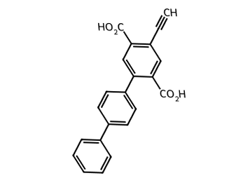 C#Cc1cc(C(=O)O)c(-c2ccc(-c3ccccc3)cc2)cc1C(=O)O